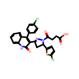 O=C(O)CCC(=O)N1N=C(c2c(-c3ccc(Cl)cc3)c3ccccc3[nH]c2=O)CC1c1ccc(Cl)s1